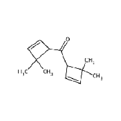 CC1(C)C=CC1C(=O)C1C=CC1(C)C